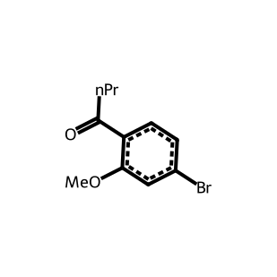 CCCC(=O)c1ccc(Br)cc1OC